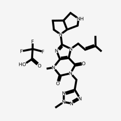 CC(C)=CCn1c(N2CCC3CNCC32)nc2c1c(=O)n(Cc1nnn(C)n1)c(=O)n2C.O=C(O)C(F)(F)F